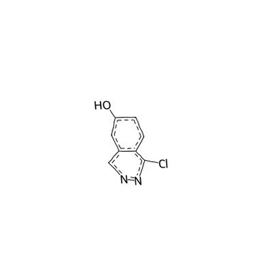 Oc1ccc2c(Cl)nncc2c1